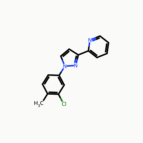 Cc1ccc(-n2ccc(-c3ccccn3)n2)cc1Cl